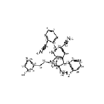 N#Cc1ccccc1-c1nc(NCCc2cccc(F)c2)c(C(C(N)=O)c2cccnc2)cc1C#N